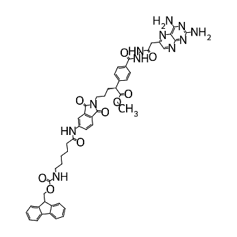 COC(=O)[C@@H](CCCN1C(=O)c2ccc(NC(=O)CCCCCNC(=O)OCC3c4ccccc4-c4ccccc43)cc2C1=O)c1ccc(C(=O)NNC(=O)Cc2cnc3nc(N)nc(N)c3n2)cc1